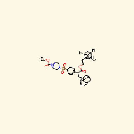 CC(C)(C)OC(=O)N1CCN(S(=O)(=O)c2ccc(C(CC34CC5CC(CC(C5)C3)C4)C(=O)OCCC3=CC[C@@H]4C[C@H]3C4(C)C)cc2)CC1